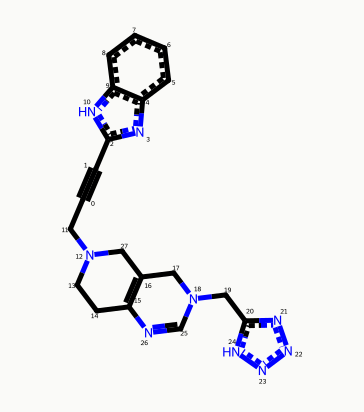 C(#Cc1nc2ccccc2[nH]1)CN1CCC2=C(CN(Cc3nnn[nH]3)C=N2)C1